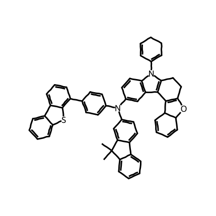 CC1(C)c2ccccc2-c2ccc(N(c3ccc(-c4cccc5c4sc4ccccc45)cc3)c3ccc4c(c3)c3c(n4C4=CCCC=C4)CCC4=C3C3C=CC=CC3O4)cc21